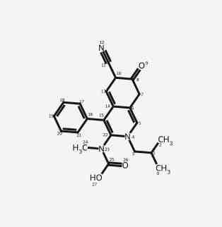 CC(C)CN1C=C2CC(=O)C(C#N)C=C2C(c2ccccc2)=C1N(C)C(=O)O